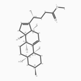 COC(=O)CC[C@@H](C)C1=CC[C@H]2[C@@H]3CC[C@@H]4C[C@H](C)CC[C@]4(C)C3=CC[C@]12C